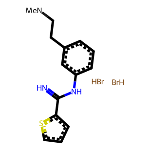 Br.Br.CNCCc1cccc(NC(=N)c2cccs2)c1